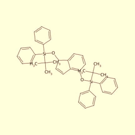 CC(C)(C)[Si](Oc1cccc2c1C=CC2O[Si](c1ccccc1)(c1ccccc1)C(C)(C)C)(c1ccccc1)c1ccccc1